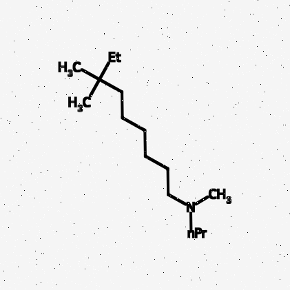 CCCN(C)CCCCCCC(C)(C)CC